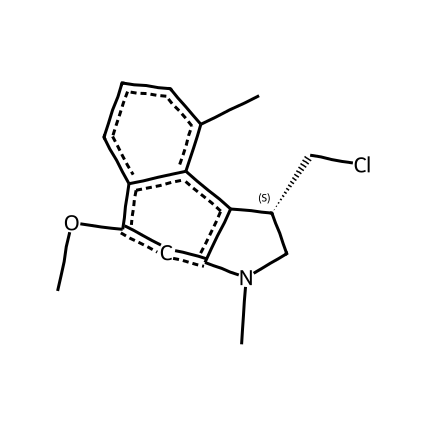 COc1cc2c(c3c(C)cccc13)[C@H](CCl)CN2C